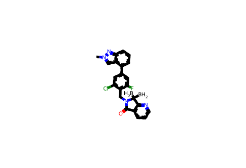 BC1(B)c2ncccc2C(=O)N1Cc1c(F)cc(-c2cccc3nn(C)cc23)cc1Cl